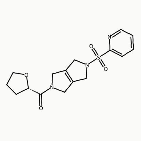 O=C([C@@H]1CCCO1)N1CC2=C(C1)CN(S(=O)(=O)c1ccccn1)C2